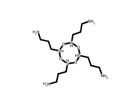 NCCC[SiH]1O[SiH](CCCN)O[SiH](CCCN)O[SiH](CCCN)O1